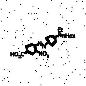 CCCCCCN(CC)c1ccc(/N=N/c2ccc(C(=O)O)cc2[N+](=O)[O-])cc1